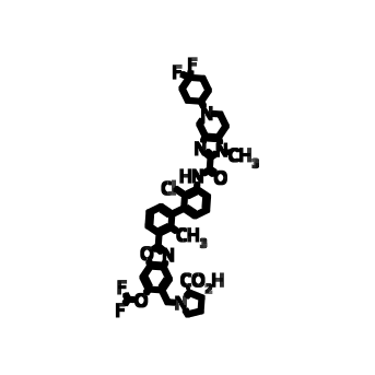 Cc1c(-c2nc3cc(CN4CCC[C@H]4C(=O)O)c(OC(F)F)cc3o2)cccc1-c1cccc(NC(=O)c2nc3c(n2C)CCN(C2CCC(F)(F)CC2)C3)c1Cl